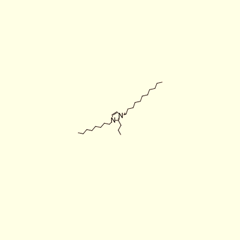 CCCCCCCCCCC[n+]1ccn(CCCCCCCC)c1CCC